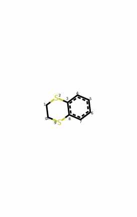 [C]1CSc2ccccc2S1